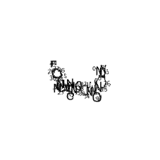 Cn1ncc2c1CN(C(=O)N1CCC(O)(Cn3cnc4c(cnn4-c4ccc(F)cc4)c3=O)CC1)CC2